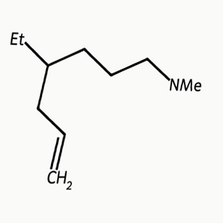 C=CCC(CC)CCCNC